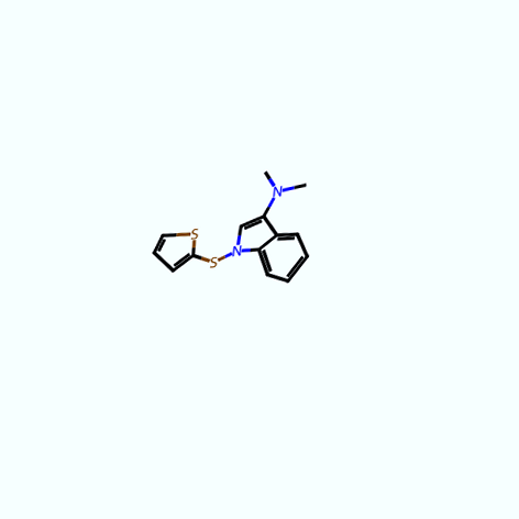 CN(C)c1cn(Sc2cccs2)c2ccccc12